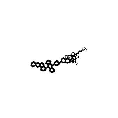 CC(C)CCCC[C@H]1CCC2[C@]3(N)CCC4CC(c5ccc(-c6c7ccccc7c(-c7cccc8c7ccc7cc9ccccc9cc78)c7ccccc67)cc5)CC[C@]4(C)C3CC[C@@]21C